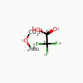 CCCCOC(=O)O.O=C(O)C(F)(F)F